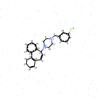 Fc1cccc(CN2CCN(C3C=CC4=C(CCC=C4)c4ccccc43)CC2)c1